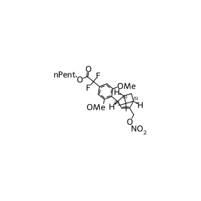 CCCCCOC(=O)C(F)(F)c1cc(OC)c([C@H]2C=C(CO[N+](=O)[O-])[C@H]3C[C@@H]2C3(C)C)c(OC)c1